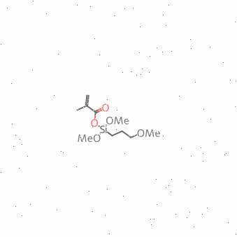 C=C(C)C(=O)O[Si](CCCOC)(OC)OC